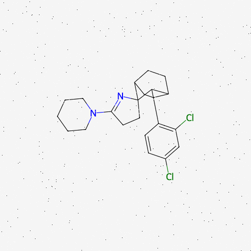 Clc1ccc(C2C3CCC(CC3)C23CCC(N2CCCCC2)=N3)c(Cl)c1